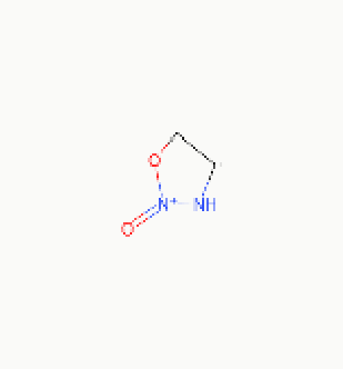 O=[N+]1N[CH]CO1